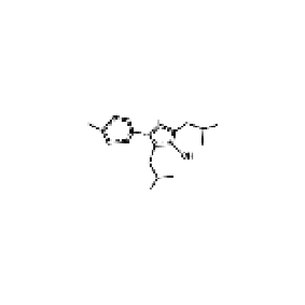 Cc1ccc(-n2nc(CC(C)C)c(O)c2CC(C)C)cc1